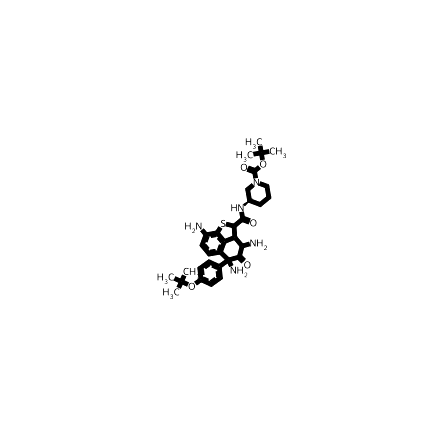 CC(C)(C)OC(=O)N1CCC[C@@H](NC(=O)C2Sc3c(N)ccc4c3C2C(N)C(=O)C4(N)c2ccc(OC(C)(C)C)cc2)C1